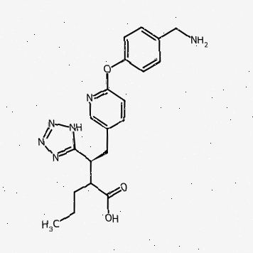 CCCC(C(=O)O)[C@H](Cc1ccc(Oc2ccc(CN)cc2)nc1)c1nnn[nH]1